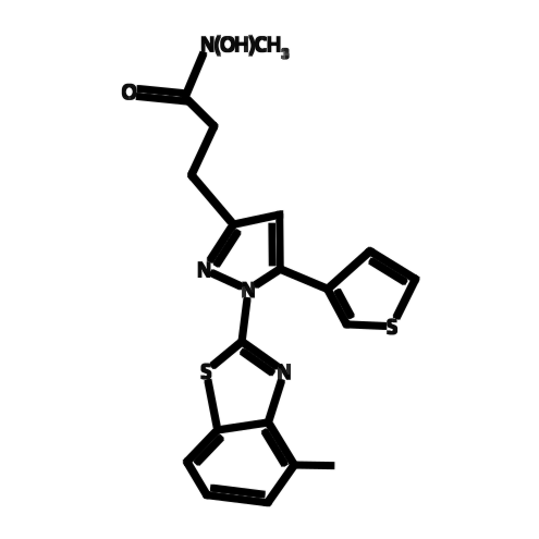 Cc1cccc2sc(-n3nc(CCC(=O)N(C)O)cc3-c3ccsc3)nc12